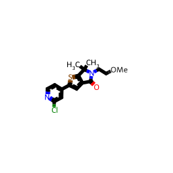 COCCN1C(=O)c2cc(-c3ccnc(Cl)c3)sc2C1(C)C